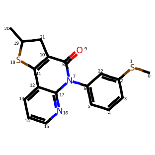 CSc1cccc(-n2c(=O)c3c(c4cccnc42)SC(C)C3)c1